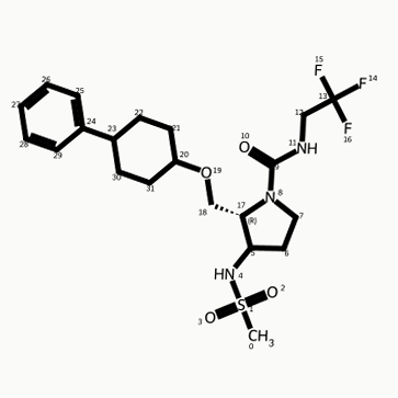 CS(=O)(=O)NC1CCN(C(=O)NCC(F)(F)F)[C@H]1COC1CCC(c2ccccc2)CC1